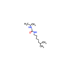 CC(C)CCCCCNC(=O)CNC(C)C